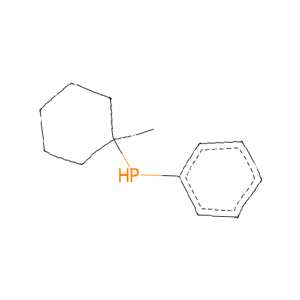 CC1(Pc2ccccc2)CCCCC1